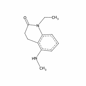 CCN1C(=O)CCc2c(NC)cccc21